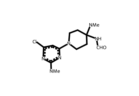 CNc1nc(Cl)cc(N2CCC(NC)(NC=O)CC2)n1